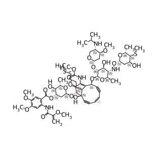 C=C(OC)C(=O)Nc1cc(OC)c(OC)cc1C(=O)O[C@H]1C[C@H](O[C@@H]2C(=O)C(NC(=O)OC)=C3/C(=C\CSSSC)[C@]2(O)C#C/C=C\C#C[C@@H]3O[C@@H]2O[C@H](C)[C@@H](NO[C@H]3C[C@H](O)[C@H](SC)[C@@H](C)O3)[C@H](O)[C@H]2O[C@H]2C[C@H](OC)[C@@H](NC(C)C)CO2)O[C@@H](C)[C@@H]1O